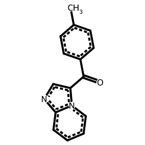 Cc1ccc(C(=O)c2cnc3ccccn23)cc1